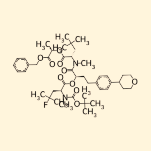 C[C@@H](OC(=O)[C@H](CC(C)(C)C)N(C)C(=O)[C@@H](CCc1ccc(C2CCOCC2)cc1)OC(=O)[C@H](CC(C)(C)F)N(C)C(=O)OC(C)(C)C)C(=O)OCc1ccccc1